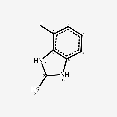 Cc1cccc2c1NC(S)N2